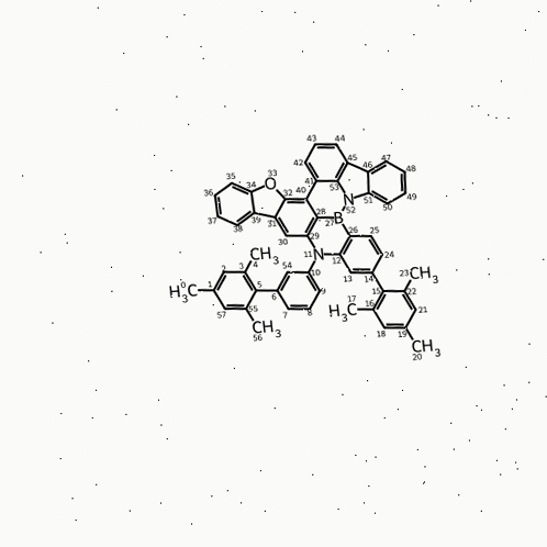 Cc1cc(C)c(-c2cccc(N3c4cc(-c5c(C)cc(C)cc5C)ccc4B4c5c3cc3c(oc6ccccc63)c5-c3cccc5c6ccccc6n4c35)c2)c(C)c1